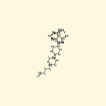 COCCCN1CCN(C2CCC(n3nc(I)c4c(N)ncnc43)CC2)CC1